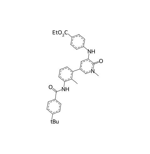 CCOC(=O)c1ccc(Nc2cc(-c3cccc(NC(=O)c4ccc(C(C)(C)C)cc4)c3C)cn(C)c2=O)cc1